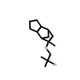 CCC(C)(C)COC1(C)CC2CC1C1CCCC21